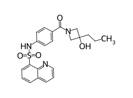 CCCC1(O)CN(C(=O)c2ccc(NS(=O)(=O)c3cccc4cccnc34)cc2)C1